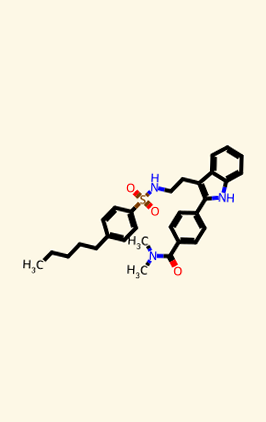 CCCCCc1ccc(S(=O)(=O)NCCc2c(-c3ccc(C(=O)N(C)C)cc3)[nH]c3ccccc23)cc1